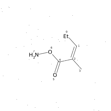 CCC=C(C)C(=O)ON